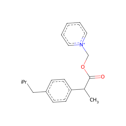 CC(C)Cc1ccc(C(C)C(=O)OC[n+]2ccccc2)cc1